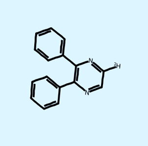 [2H]c1cnc(-c2ccccc2)c(-c2ccccc2)n1